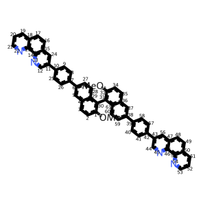 COc1ccc2cc(-c3ccc(-c4cnc5c(ccc6cccnc65)c4)cc3)ccc2c1-c1c(OC)ccc2cc(-c3ccc(-c4cnc5c(ccc6cccnc65)c4)cc3)ccc12